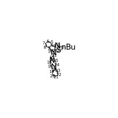 CCCCC1=NC2=c3ccccc3=CN(CCN3CCN(c4ccccc4)CC3)C2S1